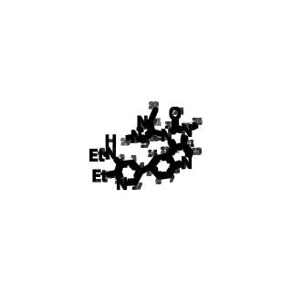 CCNc1cc(-c2ccc3ncc4c(c3c2)n(-c2cn(C)nc2C)c(=O)n4C)cnc1CC